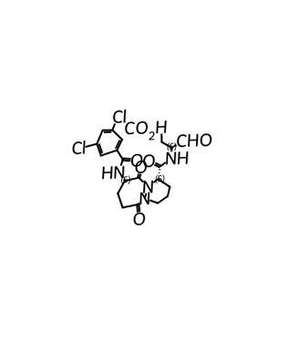 O=C[C@H](CC(=O)O)NC(=O)[C@@H]1CCCN2C(=O)CC[C@H](NC(=O)c3cc(Cl)cc(Cl)c3)C(=O)N12